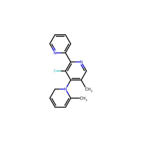 CC1=CC=CCN1c1c(C)cnc(-c2ccccn2)c1F